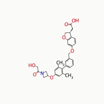 Cc1cc(OC2CN(C(=O)CO)C2)cc(C)c1-c1cccc(COc2ccc3c(c2)OC[C@H]3CC(=O)O)c1